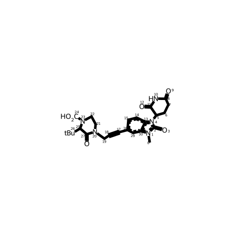 Cn1c(=O)n(C2CCC(=O)NC2=O)c2ccc(C#CCN3CCN(C(=O)O)C(C(C)(C)C)C3=O)cc21